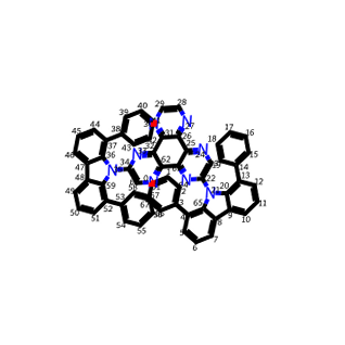 c1ccc(-c2cccc3c4cccc(-c5ccccc5)c4n(-c4cnc5c6nccnc6c6nc(-n7c8c(-c9ccccc9)cccc8c8cccc(-c9ccccc9)c87)cnc6c5n4)c23)cc1